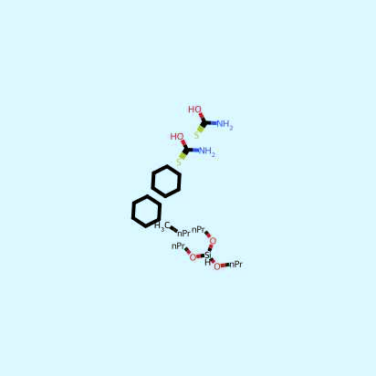 C1CCCCC1.C1CCCCC1.CCCC.CCCO[SiH](OCCC)OCCC.NC(O)=S.NC(O)=S